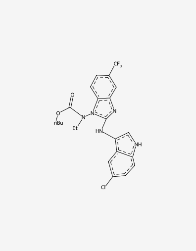 CCCCOC(=O)N(CC)n1c(Nc2c[nH]c3ccc(Cl)cc23)nc2cc(C(F)(F)F)ccc21